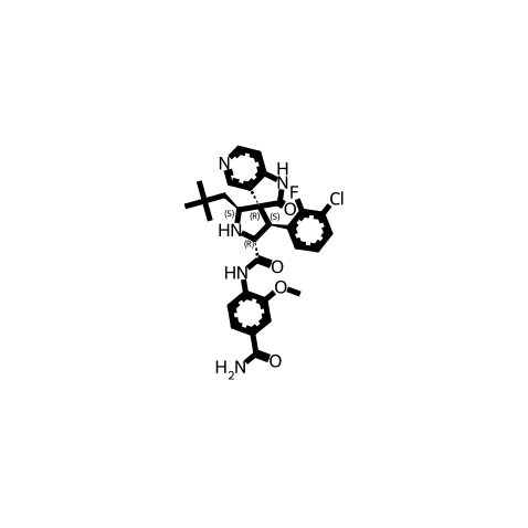 COc1cc(C(N)=O)ccc1NC(=O)[C@@H]1N[C@@H](CC(C)(C)C)[C@@]2(C(=O)Nc3ccncc32)[C@H]1c1cccc(Cl)c1F